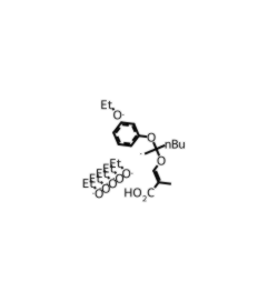 [CH2]C(CCCC)(OC=C(C)C(=O)O)Oc1ccccc1.[CH2]C[O].[CH2]C[O].[CH2]C[O].[CH2]C[O].[CH2]C[O].[CH2]C[O]